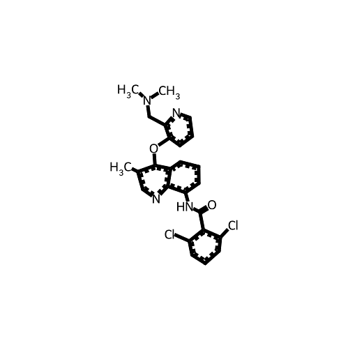 Cc1cnc2c(NC(=O)c3c(Cl)cccc3Cl)cccc2c1Oc1cccnc1CN(C)C